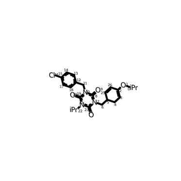 CC(C)OC1=CCC(Cn2c(=O)n(Cc3ccc(Cl)cc3)c(=O)n(C(C)C)c2=O)C=C1